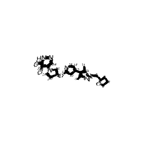 Cc1nn(CC2CCCO2)c(C)c1-c1ccnc(O[C@@H]2CCN(c3cn[nH]c(=O)c3Cl)C2)c1